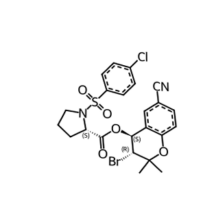 CC1(C)Oc2ccc(C#N)cc2[C@H](OC(=O)[C@@H]2CCCN2S(=O)(=O)c2ccc(Cl)cc2)[C@H]1Br